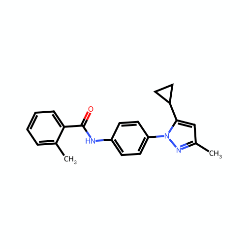 Cc1cc(C2CC2)n(-c2ccc(NC(=O)c3ccccc3C)cc2)n1